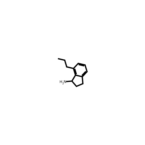 CCCc1cccc2c1C(N)CC2